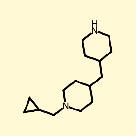 C1CC(CC2CCN(CC3CC3)CC2)CCN1